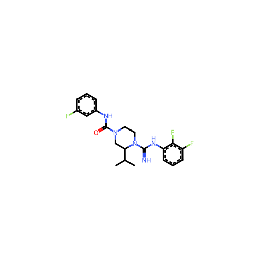 CC(C)C1CN(C(=O)Nc2cccc(F)c2)CCN1C(=N)Nc1cccc(F)c1F